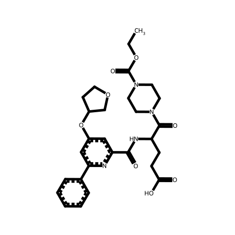 CCOC(=O)N1CCN(C(=O)C(CCC(=O)O)NC(=O)c2cc(OC3CCOC3)cc(-c3ccccc3)n2)CC1